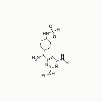 CCNc1nc(NCC)nc(C(N)C2CCC(NS(=O)(=O)CC)CC2)n1